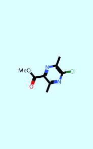 COC(=O)c1nc(C)c(Cl)nc1C